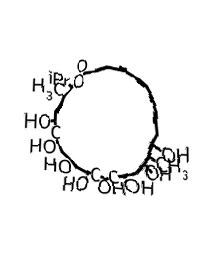 CC(C)C1OC(=O)C=CC=CC=CC=CC=CCC(O)C(C)C(O)CC(O)CC(O)CC(O)CC(O)CC(O)CC(O)C=CC1C